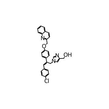 OCc1cn(CC(=Cc2ccc(Cl)cc2)c2ccc(OCc3ccc4ccccc4n3)cc2)cn1